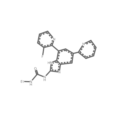 CCNC(=O)Nc1nc2cc(-c3ccccn3)cc(-c3ncccc3F)c2[nH]1